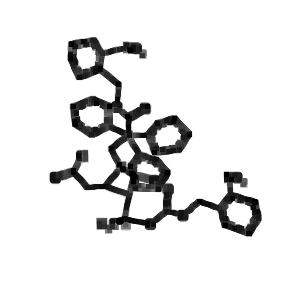 C[C@H](OC(=O)OCc1ccccc1[N+](=O)[O-])C1C(=O)N(CP(C(=O)OCc2ccccc2[N+](=O)[O-])(c2ccccc2)(c2ccccc2)c2ccccc2)C1CC(=O)Cl